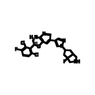 C[C@@H](Oc1cc(-c2cnn(C3CC4CNCC4(F)C3)c2)cnc1N)c1c(Cl)ccc(F)c1Cl